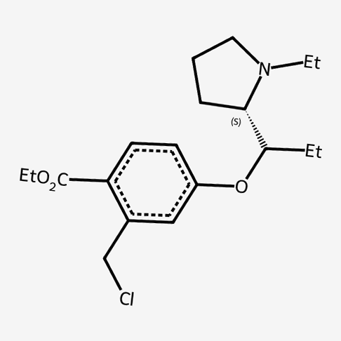 CCOC(=O)c1ccc(OC(CC)[C@@H]2CCCN2CC)cc1CCl